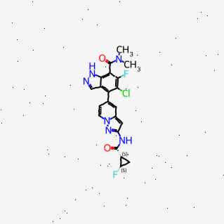 CN(C)C(=O)c1c(F)c(Cl)c(-c2ccn3nc(NC(=O)[C@@H]4C[C@@H]4F)cc3c2)c2cn[nH]c12